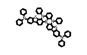 c1ccc(N(c2ccccc2)c2ccc3c(c2)sc2c4c(ccc23)B2c3ccc5c(sc6cc(N(c7ccccc7)c7ccccc7)ccc65)c3N(c3ccccc3)c3cccc(c32)N4c2ccccc2)cc1